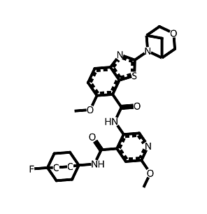 COc1cc(C(=O)NC23CCC(F)(CC2)CC3)c(NC(=O)c2c(OC)ccc3nc(N4C5COCC4C5)sc23)cn1